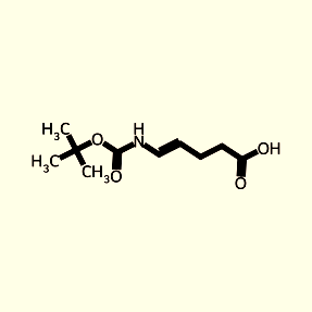 CC(C)(C)OC(=O)NC=CCCC(=O)O